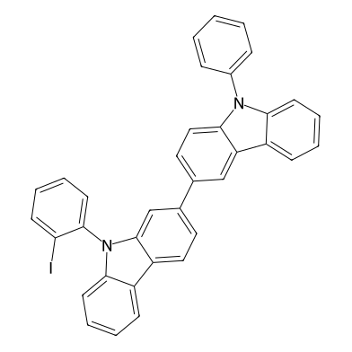 Ic1ccccc1-n1c2ccccc2c2ccc(-c3ccc4c(c3)c3ccccc3n4-c3ccccc3)cc21